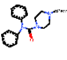 CCCCCN1CCN(C(=O)N(c2ccccc2)c2ccccc2)CC1